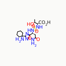 CC(O)[C@H](NS(=O)(=O)N[C@@H](CC(N)=O)c1nc(C2(N)CCCCC2)no1)C(=O)O